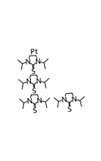 CC(C)N1CCN(C(C)C)C1=S.CC(C)N1CCN(C(C)C)C1=S.CC(C)N1CCN(C(C)C)C1=S.CC(C)N1CCN(C(C)C)C1=S.[Pt]